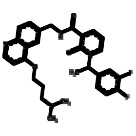 CC(c1ccc(F)c(F)c1)n1cccc(C(=O)NCc2ccc3nccc(OCCCN(C)C)c3c2)c1=O